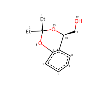 CCC1(CC)Oc2ccccc2[C@H](CO)O1